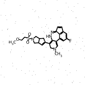 COCCS(=O)(=O)N1CC2C=C(C3=C4NN=C5C=Cc6cc(F)cc(c65)C4=CN(C)C3)CC2C1